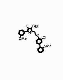 CCOc1c(F)c(-c2cccc(OC)c2)nn1CCOc1ccc(-c2ccccc2SC)cc1Cl